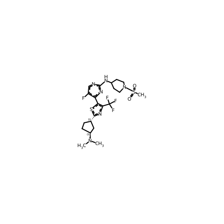 CN(C)[C@H]1CC[C@H](c2nc(C(F)(F)F)c(-c3nc(NC4CCN(S(C)(=O)=O)CC4)ncc3F)s2)C1